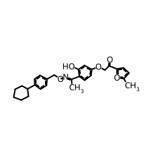 C/C(=N\OCc1ccc(C2CCCCC2)cc1)c1ccc(OCC(=O)c2ccc(C)o2)cc1O